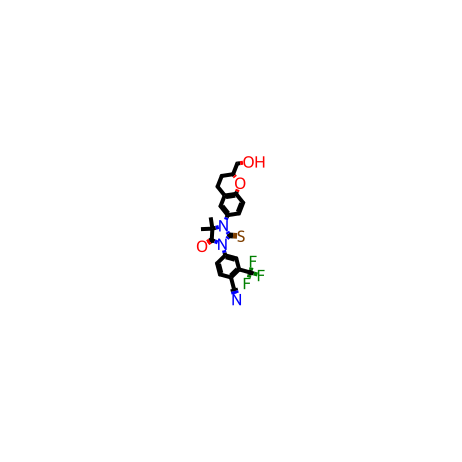 CC1(C)C(=O)N(c2ccc(C#N)c(C(F)(F)F)c2)C(=S)N1c1ccc2c(c1)CCC(CO)O2